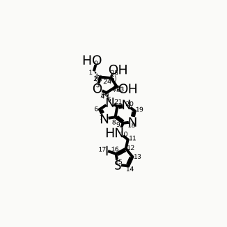 OC[C@H]1O[C@@H](n2cnc3c(NCc4ccsc4I)ncnc32)[C@H](O)[C@@H]1O